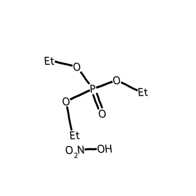 CCOP(=O)(OCC)OCC.O=[N+]([O-])O